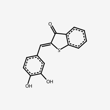 O=C1/C(=C/c2ccc(O)c(O)c2)Sc2ccccc21